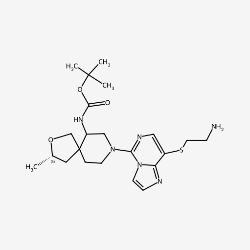 C[C@H]1CC2(CCN(c3ncc(SCCN)c4nccn34)CC2NC(=O)OC(C)(C)C)CO1